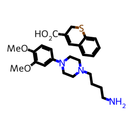 COc1ccc(N2CCN(CCCCN)CC2)cc1OC.O=C(O)C1=Cc2ccccc2SC1